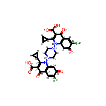 O=C1Cc2c(c(=O)c(C(=O)O)c(C3CC3)n2N2CCN(n3c4c(c(=O)c(C(=O)O)c3C3CC3)C=C(F)C(=O)C4)CC2)C=C1F